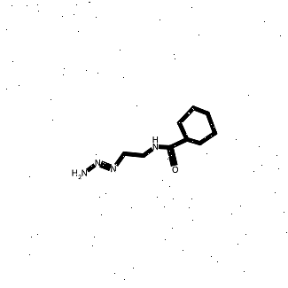 NN=NCCNC(=O)C1CCCCC1